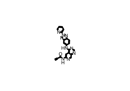 C#CC(=O)Nc1cc2c(Nc3ccc4nn(-c5ccccn5)nc4c3)ncnc2cn1